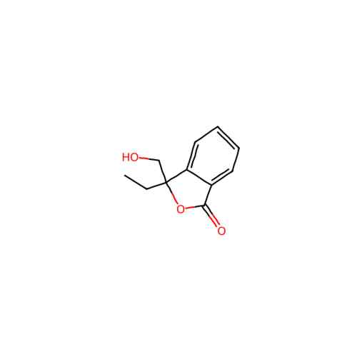 CCC1(CO)OC(=O)c2ccccc21